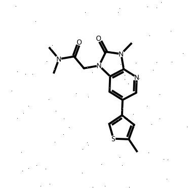 Cc1cc(-c2cnc3c(c2)n(CC(=O)N(C)C)c(=O)n3C)cs1